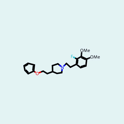 COc1ccc(CCN2CCC(CCOc3ccccc3)CC2)c(F)c1OC